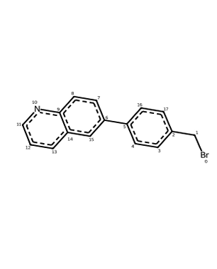 BrCc1ccc(-c2ccc3ncccc3c2)cc1